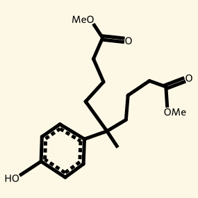 COC(=O)CCCC(C)(CCCC(=O)OC)c1ccc(O)cc1